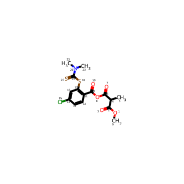 COC(=O)C(C)C(=O)OC(=O)c1ccc(Cl)cc1SC(=S)N(C)C